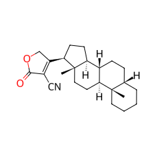 C[C@]12CCCC[C@H]1CC[C@@H]1[C@@H]2CC[C@]2(C)[C@@H](C3=C(C#N)C(=O)OC3)CC[C@@H]12